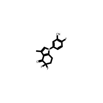 Cc1cn(-c2ccc(F)c(C#N)c2)c2c1C(=O)C(F)(F)CC2